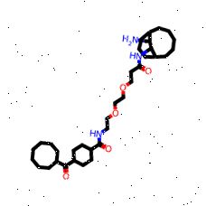 NC1C2CCCCCC(CCC2)C1NC(=O)CCOCCOCCNC(=O)C1CCC(C(=O)C2CCCCCCC2)CC1